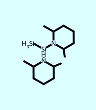 CC1CCCC(C)N1[SiH]([SiH3])N1C(C)CCCC1C